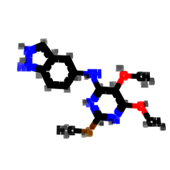 COc1nc(SC)nc(Nc2ccc3[nH]ncc3c2)c1OC